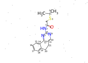 CC(C)SCC(=O)Nc1ncc2c(n1)-c1ccccc1CC2